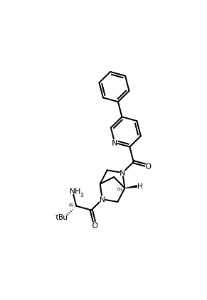 CC(C)(C)[C@H](N)C(=O)N1C[C@@H]2CC1CN2C(=O)c1ccc(-c2ccccc2)cn1